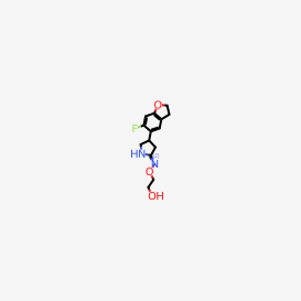 OCCO/N=C1/CC(c2cc3c(cc2F)OCC3)CN1